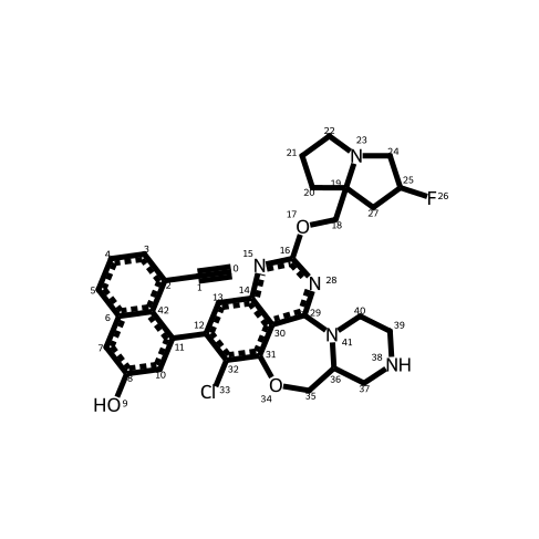 C#Cc1cccc2cc(O)cc(-c3cc4nc(OCC56CCCN5CC(F)C6)nc5c4c(c3Cl)OCC3CNCCN53)c12